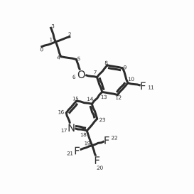 CC(C)(C)CCOc1ccc(F)cc1-c1ccnc(C(F)(F)F)c1